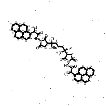 CCCCC(C)(CCCC(C)(CCC)C1CC(=O)N(NC(=O)C(CC)c2ccc3ccc4cccc5ccc2c3c45)C1=O)C1CC(=O)N(NC(=O)C(CC)c2ccc3ccc4cccc5ccc2c3c45)C1=O